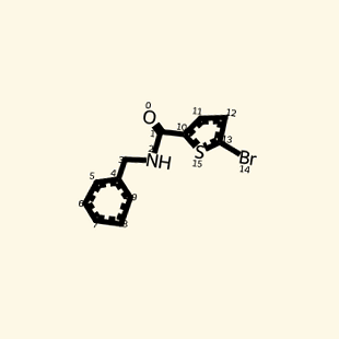 O=C(NCc1ccccc1)c1ccc(Br)s1